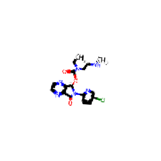 CCN(CCNC)C(=O)O[C@@H]1c2nccnc2C(=O)N1c1ccc(Cl)cn1